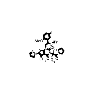 COc1ccc(F)cc1C(Cn1c(=O)n(C(C)(C)C(=O)N2CCCC2)c(=O)c2c(C)c(-n3cccn3)sc21)OC(C)C